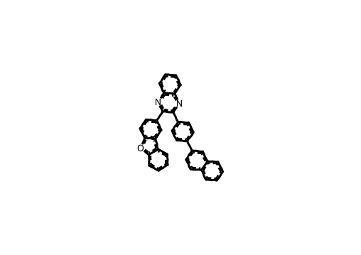 c1ccc2cc(-c3ccc(-c4nc5ccccc5nc4-c4ccc5oc6ccccc6c5c4)cc3)ccc2c1